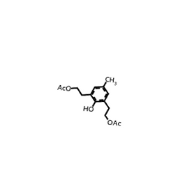 CC(=O)OCCc1cc(C)cc(CCOC(C)=O)c1O